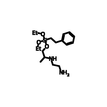 CCO[Si](CCc1ccccc1)(OCC)OCC(C)NCCN